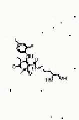 Cn1c(Nc2ccc(I)cc2F)c(C(=O)NOCC[C@H](O)CO)c(=O)n(C)c1=O